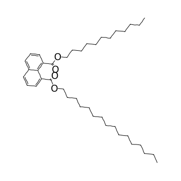 CCCCCCCCCCCCCCCCOC(=O)c1cccc2cccc(C(=O)OCCCCCCCCCCCC)c12